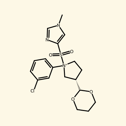 Cn1cnc(S(=O)(=O)[N+]2(c3cccc(Cl)c3)CC[C@H](C3OCCCO3)C2)c1